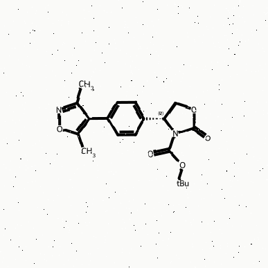 Cc1noc(C)c1-c1ccc([C@@H]2COC(=O)N2C(=O)OC(C)(C)C)cc1